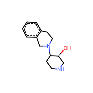 O[C@H]1CNCCC1N1CCc2ccccc2C1